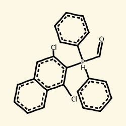 O=C[PH](c1ccccc1)(c1ccccc1)c1c(Cl)cc2ccccc2c1Cl